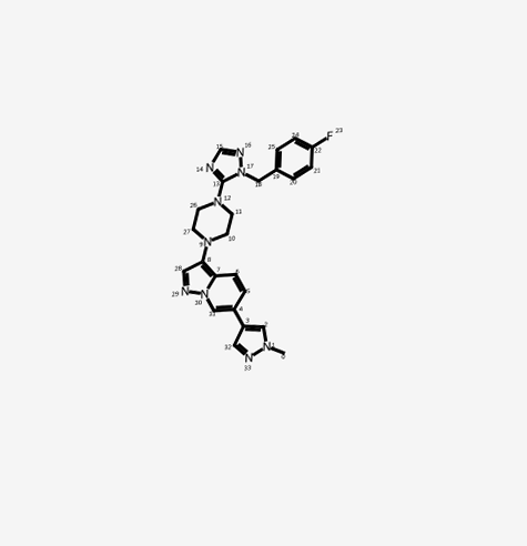 Cn1cc(-c2ccc3c(N4CCN(c5ncnn5Cc5ccc(F)cc5)CC4)cnn3c2)cn1